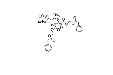 CC(=O)NC(CC(C)N=C(NC(=O)OCOC(=O)Cc1ccccc1)NC(=O)OCOC(=O)Cc1ccccc1)C(=O)O